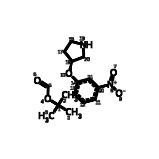 CC(C)(C)OC=O.O=[N+]([O-])c1cccc(O[C@H]2CCNC2)c1